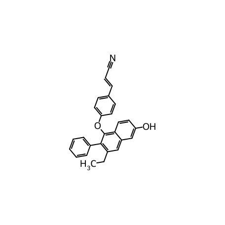 CCc1cc2cc(O)ccc2c(Oc2ccc(/C=C/C#N)cc2)c1-c1ccccc1